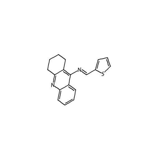 C(=Nc1c2c(nc3ccccc13)CCCC2)c1cccs1